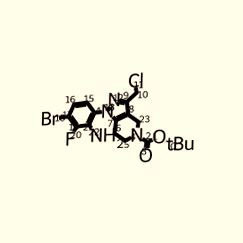 CC(C)(C)OC(=O)N1CCc2c(c(CCl)nn2-c2ccc(Br)c(F)c2N)C1